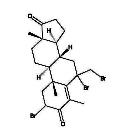 CC1=C2C(Br)(CBr)C[C@@H]3[C@H](CC[C@]4(C)C(=O)CC[C@@H]34)[C@@]2(C)CC(Br)C1=O